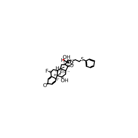 C[C@]12C[C@H](O)[C@@]3(F)[C@@H](C[C@H](F)C4=CC(=O)C=C[C@@]43C)[C@]1(C)C[C@H]1CN(CCSc3ccccc3)O[C@]12C(=O)CO